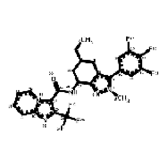 CCC1Cc2c(nn(C)c2-c2cc(F)c(F)c(F)c2)C(NC(=O)c2c(C(F)(F)F)nc3ccccn23)C1